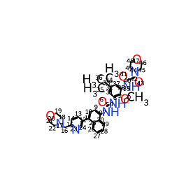 COc1c(NC(=O)Nc2ccc(-c3ccc(CN4CCOCC4)nc3)c3ccccc23)cc(C(C)(C)C)cc1NC(=O)C(=O)N1CCOCC1